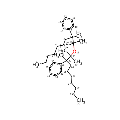 CCCCCCCC(C)(c1ccccc1)C(C)(C)OC(C)(C)C(C)(CCCCCCC)c1ccccc1